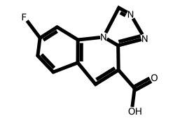 O=C(O)c1cc2ccc(F)cc2n2cnnc12